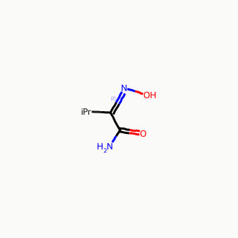 CC(C)/C(=N/O)C(N)=O